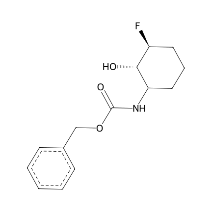 O=C(NC1CCC[C@H](F)[C@H]1O)OCc1ccccc1